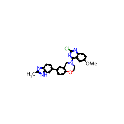 COc1ccc2nc(Cl)nc(N3CCOc4ccc(-c5ccc6nc(C)[nH]c6c5)cc4C3)c2c1